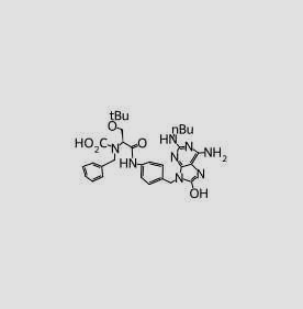 CCCCNc1nc(N)c2nc(O)n(Cc3ccc(NC(=O)[C@H](COC(C)(C)C)N(Cc4ccccc4)C(=O)O)cc3)c2n1